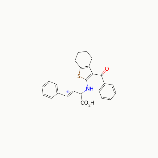 O=C(c1ccccc1)c1c(NC(/C=C/c2ccccc2)C(=O)O)sc2c1CCCC2